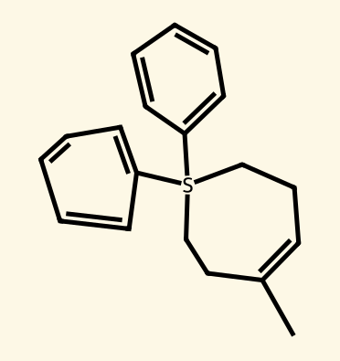 CC1=CCCS(c2ccccc2)(c2ccccc2)CC1